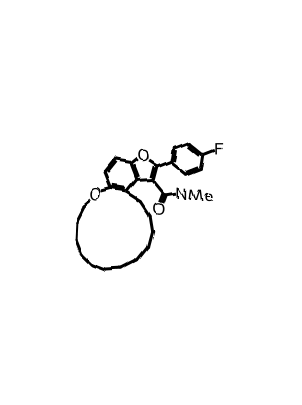 CNC(=O)c1c(-c2ccc(F)cc2)oc2ccc3c(c12)CCCCCCCCCCCCO3